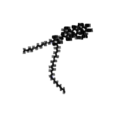 CCCCCCCC/C=C\CCCCCCCCCCCCCC(=O)N[C@@H](CO[C@@H]1OC(CO)[C@@H](O[C@@H]2OC(CO)[C@@H](O)[C@H](O[C@H]3OC(CO)[C@@H](O)[C@H](O)C3O)C2O)[C@H](O)C1O)[C@H](O)/C=C/CCCCCCCCCCCCC